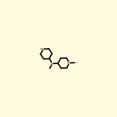 CN(C1CCNCC1)C1CCN(I)CC1